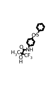 CC(O)(C(=O)Nc1ccc(OSc2ccccc2)cc1)C(F)(F)F